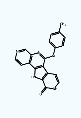 Cc1ccc(Nc2nc3cnccc3c3[nH]c4c(=O)[nH]ccc4c23)cc1